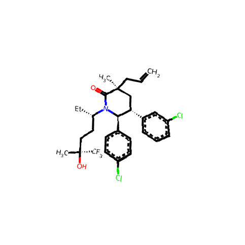 C=CC[C@@]1(C)C[C@H](c2cccc(Cl)c2)[C@@H](c2ccc(Cl)cc2)N([C@@H](CC)CC[C@](C)(O)C(F)(F)F)C1=O